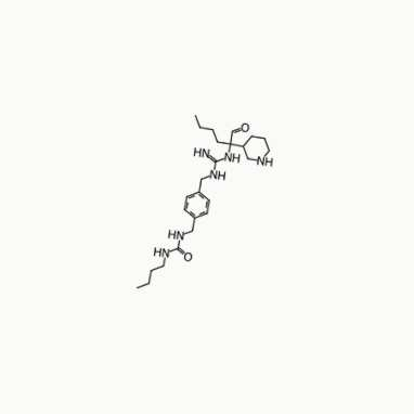 CCCCNC(=O)NCc1ccc(CNC(=N)NC(C=O)(CCCC)C2CCCNC2)cc1